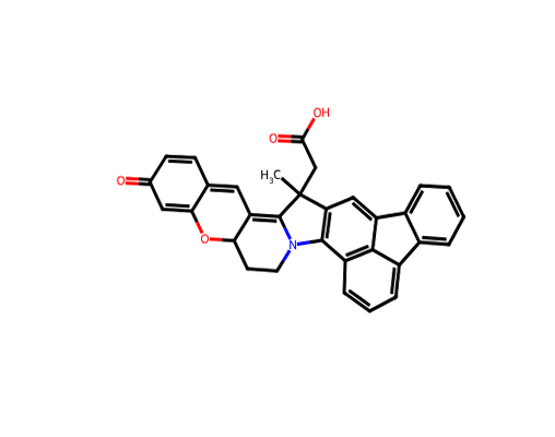 CC1(CC(=O)O)C2=C3C=C4C=CC(=O)C=C4OC3CCN2c2c1cc1c3c(cccc23)-c2ccccc2-1